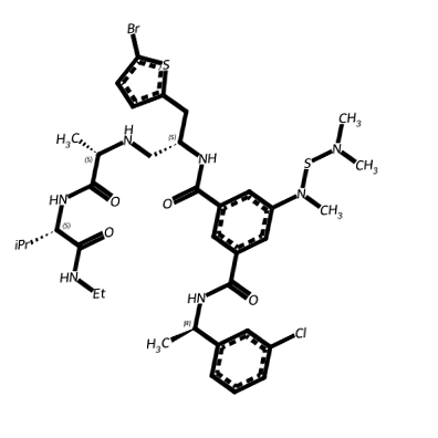 CCNC(=O)[C@@H](NC(=O)[C@H](C)NC[C@H](Cc1ccc(Br)s1)NC(=O)c1cc(C(=O)N[C@H](C)c2cccc(Cl)c2)cc(N(C)SN(C)C)c1)C(C)C